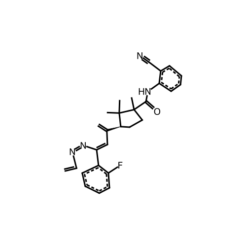 C=C/N=N\C(=C/C(=C)[C@@H]1CCC(C)(C(=O)Nc2ccccc2C#N)C1(C)C)c1ccccc1F